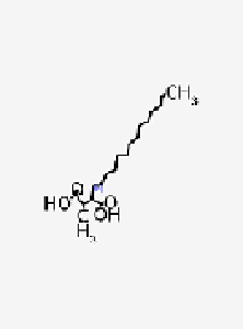 CCCCCCCCCCCC/C=C/C(C(=O)O)C(C)C(=O)O